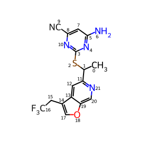 CC(Sc1nc(N)cc(C#N)n1)c1cc2c(CC(F)(F)F)coc2cn1